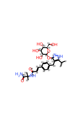 CC(C)c1[nH]nc(O[C@@H]2O[C@H](CO)[C@@H](O)[C@H](O)[C@H]2O)c1Cc1ccc(/C=C/C(=O)NC(C)(C)C(N)=O)cc1